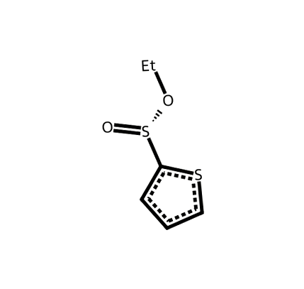 CCO[S@@](=O)c1cccs1